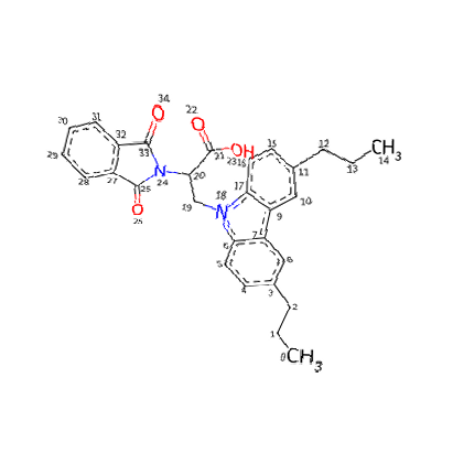 CCCc1ccc2c(c1)c1cc(CCC)ccc1n2CC(C(=O)O)N1C(=O)c2ccccc2C1=O